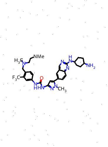 CNCCN(C)Cc1ccc(NC(=O)Nc2cc(-c3ccc4nc(NC5CCC(N)CC5)ncc4c3)n(C)n2)cc1C(F)(F)F